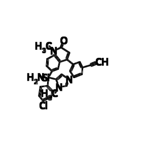 C#Cc1cccc(-c2cc(=O)n(C)c3ccc([Si@](N)(c4ccc(Cl)cc4)c4cncn4C)cc23)c1